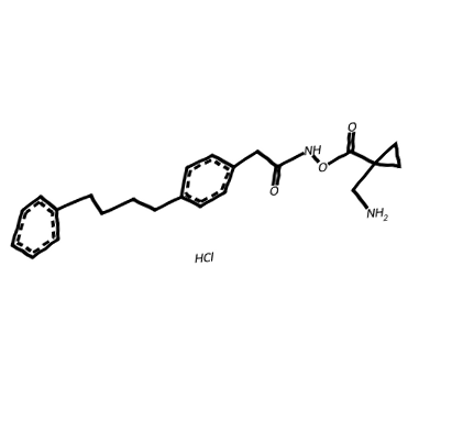 Cl.NCC1(C(=O)ONC(=O)Cc2ccc(CCCCc3ccccc3)cc2)CC1